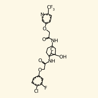 O=C(COc1ccc(C(F)(F)F)nc1)NC12CCC(NC(=O)COc3ccc(Cl)c(F)c3)(CC1)C(O)C2